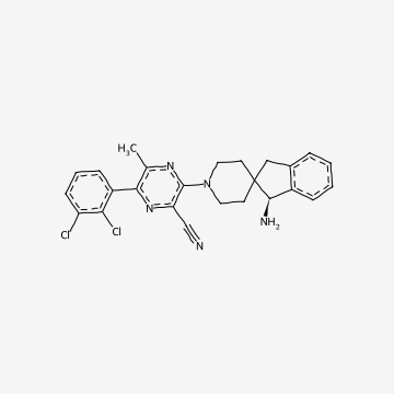 Cc1nc(N2CCC3(CC2)Cc2ccccc2[C@H]3N)c(C#N)nc1-c1cccc(Cl)c1Cl